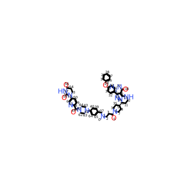 CN(CCC(=O)N1CCC([C@@H]2CCNc3c(C(N)=O)c(-c4ccc(Oc5ccccc5)cc4)nn32)CC1)Cc1ccc(N2CCN(C(=O)c3ccc(N4CCC(=O)NC4=O)cn3)CC2)cc1